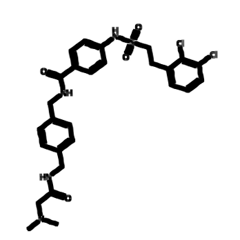 CN(C)CC(=O)NCc1ccc(CNC(=O)c2ccc(NS(=O)(=O)CCc3cccc(Cl)c3Cl)cc2)cc1